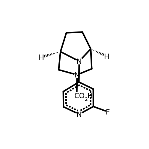 O=C(O)N1C[C@H]2CC[C@@H](C1)N2c1ccnc(F)c1